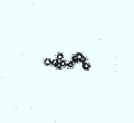 c1ccc(-c2cc(-c3ccccc3)c3c(ccc4cc(-c5cccc(-c6ccc7ccc8ccc(-c9ccccc9)nc8c7n6)c5)ccc43)n2)cc1